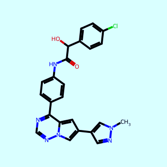 Cn1cc(-c2cc3c(-c4ccc(NC(=O)C(O)c5ccc(Cl)cc5)cc4)ncnn3c2)cn1